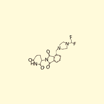 O=C1CCC(N2C(=O)c3cccc(CN4CCN(C(F)F)CC4)c3C2=O)C(=O)N1